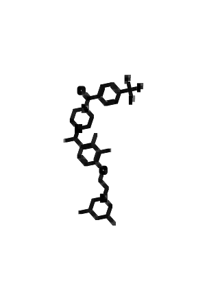 Cc1c(OCCN2CC(C)CC(C)C2)ccc(C(C)N2CCN(C(=O)c3ccc(C(F)(F)F)cc3)CC2)c1C